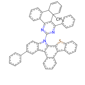 CC12C=CC=CC1c1ccccc1-c1nc(-n3c4ccc(-c5ccccc5)cc4c4c5ccccc5c5c6ccccc6sc5c43)nc(-c3ccccc3)c12